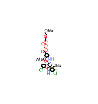 COCCOCCOC(=O)OCOC(=O)c1ccc(NC(=O)[C@@H]2N[C@@H](CC(C)(C)C)[C@@]3(C(=O)Nc4cc(Cl)c(F)cc43)[C@H]2c2cccc(Cl)c2)c(OC)c1